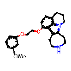 COc1cccc(OCCOc2ccc3c4c2c2c(n4CCC3)CCNCC2)c1